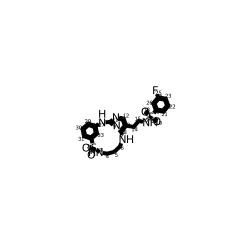 O=S1(=O)NCCCNc2nc(ncc2CCNS(=O)(=O)c2cccc(F)c2)Nc2cccc1c2